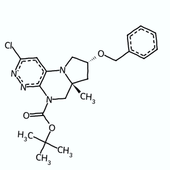 CC(C)(C)OC(=O)N1C[C@@]2(C)C[C@@H](OCc3ccccc3)CN2c2cc(Cl)nnc21